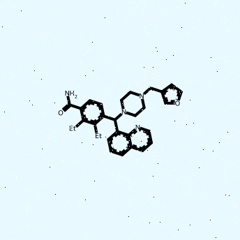 CCc1c(C(N)=O)ccc(C(c2cccc3cccnc23)N2CCN(Cc3ccoc3)CC2)c1CC